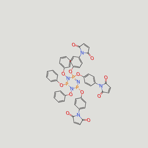 O=C1C=CC(=O)N1c1ccc(OP2N=P(Oc3ccc(N4C(=O)C=CC4=O)cc3)(Oc3ccc(N4C(=O)C=CC4=O)cc3)N(Oc3ccccc3)P(Oc3ccccc3)N2Oc2ccccc2)cc1